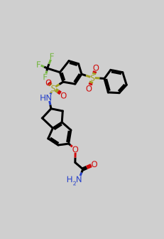 NC(=O)COc1ccc2c(c1)CC(NS(=O)(=O)c1cc(S(=O)(=O)c3ccccc3)ccc1C(F)(F)F)C2